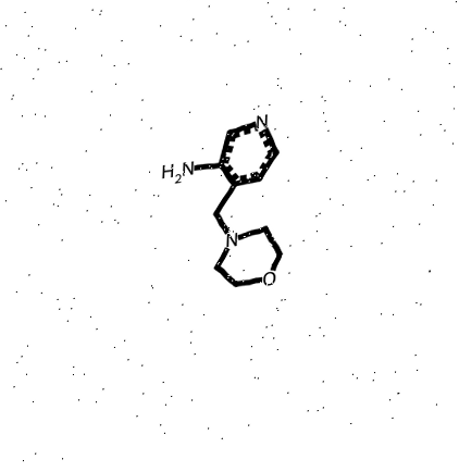 Nc1cnccc1CN1CCOCC1